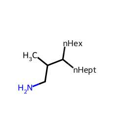 CCCCCCCC(CCCCCC)C(C)CN